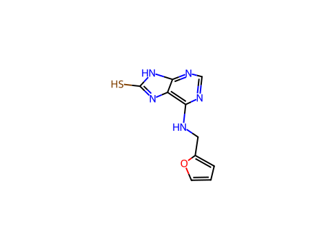 Sc1nc2c(NCc3ccco3)ncnc2[nH]1